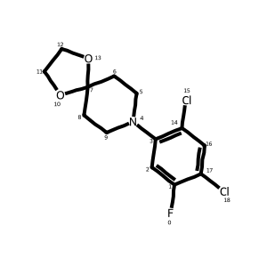 Fc1cc(N2CCC3(CC2)OCCO3)c(Cl)cc1Cl